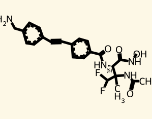 CC(=O)NC(C)(C(F)F)[C@H](NC(=O)c1ccc(C#Cc2ccc(CN)cc2)cc1)C(=O)NO